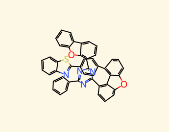 c1ccc(-c2nc(-c3cccc4c3oc3ccccc34)nc(-c3cccc4oc5cccc(-c6ccc(-c7nc8ccccc8s7)cc6)c5c34)n2)cc1